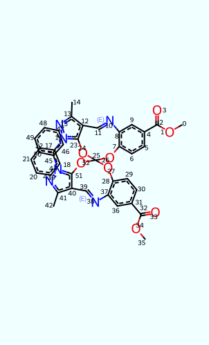 COC(=O)c1ccc2c(c1)/N=C/c1c(C)nn(-c3ccccc3)c1OC1(O2)Oc2ccc(C(=O)OC)cc2/N=C/c2c(C)nn(-c3ccccc3)c2O1